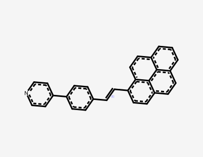 C(=C\c1ccc2ccc3cccc4ccc1c2c34)/c1ccc(-c2ccncc2)cc1